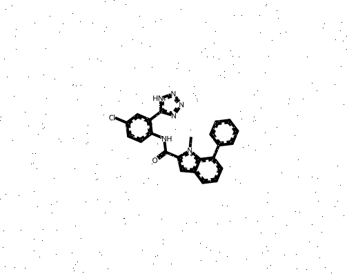 Cn1c(C(=O)Nc2ccc(Cl)cc2-c2nnn[nH]2)cc2cccc(-c3ccccc3)c21